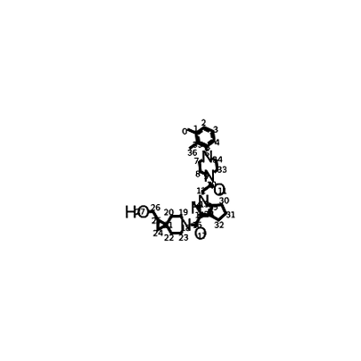 Cc1cccc(N2CCN(C(=O)Cn3nc(C(=O)N4CCC5(CC4)CC5CO)c4c3CCC4)CC2)c1C